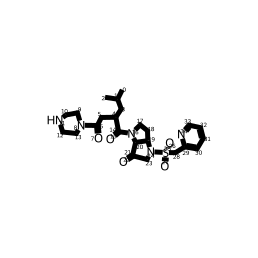 CC(C)CC(CC(=O)N1CCNCC1)C(=O)N1CCC2C1C(=O)CN2S(=O)(=O)Cc1ccccn1